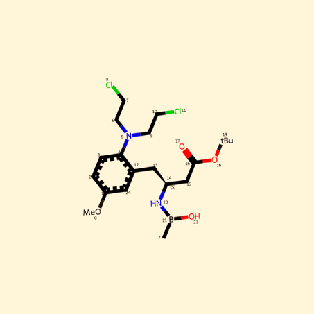 COc1ccc(N(CCCl)CCCl)c(C[C@@H](CC(=O)OC(C)(C)C)NB(C)O)c1